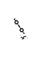 CC(N)(C(F)F)[C@H](NC(=O)c1ccc(C#Cc2ccc(C(F)(F)F)cc2)cc1)C(=O)NO